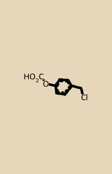 O=C(O)Oc1ccc(CCl)cc1